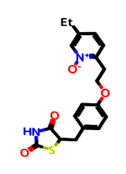 CCc1ccc(CCOc2ccc(CC3SC(=O)NC3=O)cc2)[n+]([O-])c1